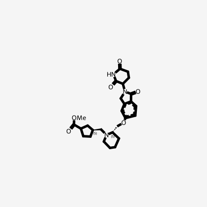 COC(=O)C1CC[C@H](CN2CCCC[C@H]2COc2ccc3c(c2)CN(C2CCC(=O)NC2=O)C3=O)C1